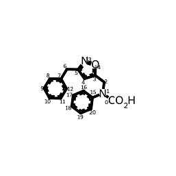 O=C(O)N(Cc1cc(Cc2ccccc2)no1)c1ccccc1